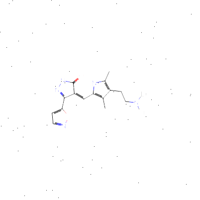 CCN(CC)CCc1c(C)[nH]c(C=C2C(=O)NN=C2c2ccno2)c1C